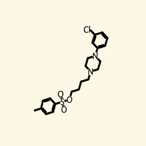 Cc1ccc(S(=O)(=O)OCCCCN2CCN(c3cccc(Cl)c3)CC2)cc1